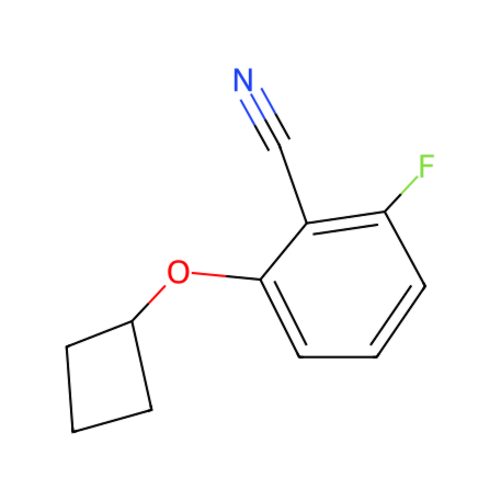 N#Cc1c(F)cccc1OC1CCC1